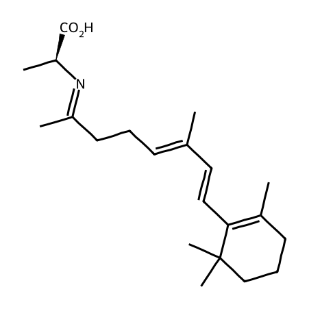 CC(C=CC1=C(C)CCCC1(C)C)=CCCC(C)=N[C@@H](C)C(=O)O